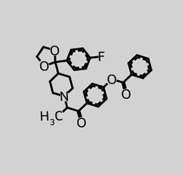 CC(C(=O)c1ccc(OC(=O)c2ccccc2)cc1)N1CCC(C2(c3ccc(F)cc3)OCCO2)CC1